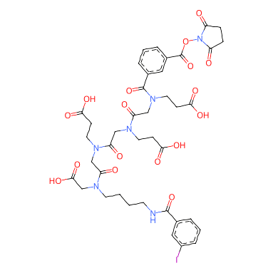 O=C(O)CCN(CC(=O)N(CCCCNC(=O)c1cccc(I)c1)CC(=O)O)C(=O)CN(CCC(=O)O)C(=O)CN(CCC(=O)O)C(=O)c1cccc(C(=O)ON2C(=O)CCC2=O)c1